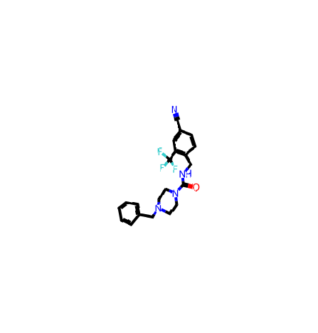 N#Cc1ccc(CNC(=O)N2CCN(Cc3ccccc3)CC2)c(C(F)(F)F)c1